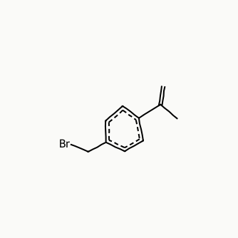 C=C(C)c1ccc(CBr)cc1